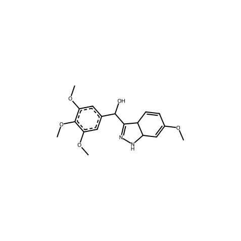 COC1=CC2NN=C(C(O)c3cc(OC)c(OC)c(OC)c3)C2C=C1